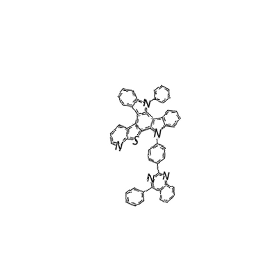 c1ccc(-c2nc(-c3ccc(-n4c5ccccc5c5c4c4sc6ncccc6c4c4c6ccccc6n(-c6ccccc6)c45)cc3)nc3ccccc23)cc1